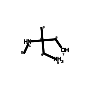 CNC(C)(CN)CO